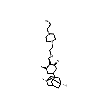 O=C1CC(C23CC4C[C@H](C2)C[C@@H](C4)C3)CC(=O)C1=CNCCN1CCN(CCO)CC1